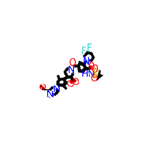 COC[C@H]1CN(c2cc(C)c3c4c(c(=O)oc3c2C)CN(C(=O)c2ccc(C(=O)NS(=O)(=O)C3(C)CC3)c(N3CCCC(F)(F)C3)c2)CC4)CCN1C